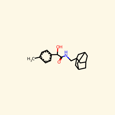 Cc1ccc(C(O)C(=O)NCC23CC4CC(CC(C4)C2)C3)cc1